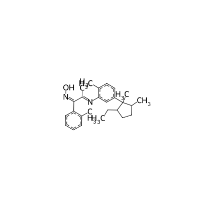 CCC1CCC(C)C1(C)c1ccc(C)c(/N=C(C)/C(=N\O)c2ccccc2C)c1